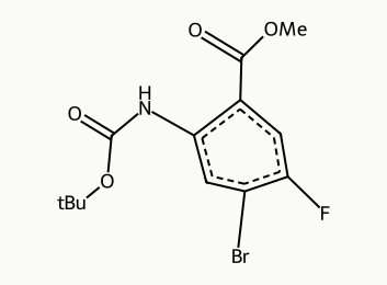 COC(=O)c1cc(F)c(Br)cc1NC(=O)OC(C)(C)C